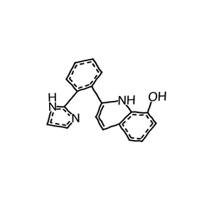 Oc1cccc2c1NC(c1ccccc1-c1ncc[nH]1)=C=C2